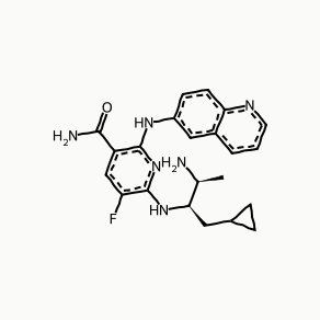 C[C@H](N)[C@@H](CC1CC1)Nc1nc(Nc2ccc3ncccc3c2)c(C(N)=O)cc1F